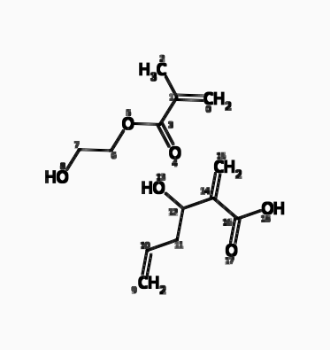 C=C(C)C(=O)OCCO.C=CCC(O)C(=C)C(=O)O